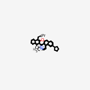 Cc1c2c(c(CC(C)C)c3ccccc13)Oc1cc3ccc(C4CCCC4)cc3c3cc[n+](C)c-2c13